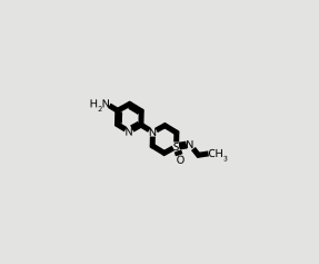 CCN=S1(=O)CCN(c2ccc(N)cn2)CC1